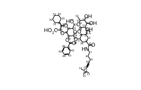 CCC1CC(C(=O)NCCCC#C[Si](C)(C)C)C[C@@H](OC2OC(CO)[C@H](O)C(O[C@@H](CC3CCCCC3)C(=O)O)C2OC(=O)c2ccccc2)C1O[C@@H]1OC(C)[C@@H](O)C(O)C1O